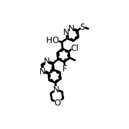 CSc1ccc(C(O)c2cc(-c3ncnc4cc(N5CCOCC5)ccc34)c(F)c(C)c2Cl)nn1